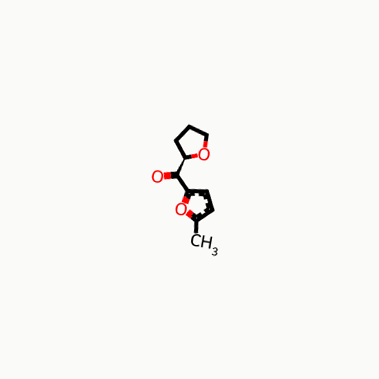 Cc1ccc(C(=O)[C@H]2CCCO2)o1